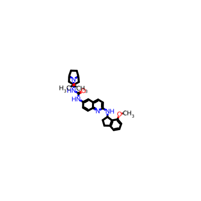 COc1cccc2c1C(Nc1ccc3cc(NC(=O)NC4CC5CCC(C4)N5C(C)C)ccc3n1)CC2